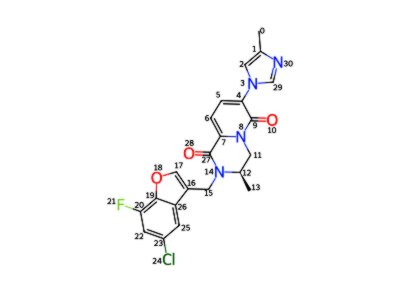 Cc1cn(-c2ccc3n(c2=O)C[C@@H](C)N(Cc2coc4c(F)cc(Cl)cc24)C3=O)cn1